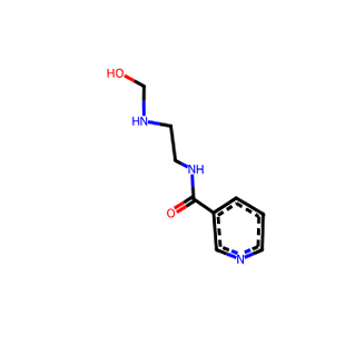 O=C(NCCNCO)c1cccnc1